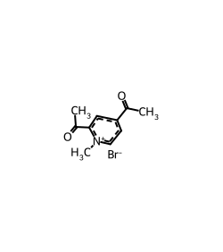 CC(=O)c1cc[n+](C)c(C(C)=O)c1.[Br-]